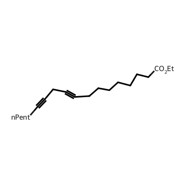 CCCCCC#CCC#CCCCCCCCC(=O)OCC